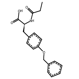 CCC(=O)N[C@@H](Cc1ccc(OCc2ccccc2)cc1)C(=O)O